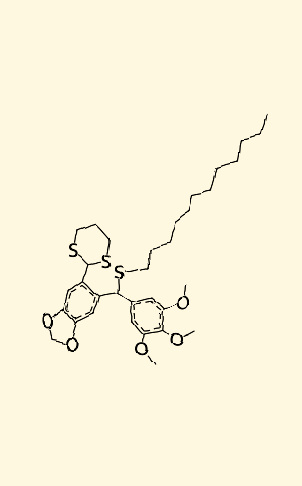 CCCCCCCCCCCCSC(c1cc(OC)c(OC)c(OC)c1)c1cc2c(cc1C1SCCCS1)OCO2